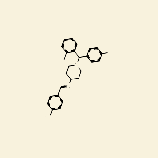 Cc1ccccc1C(c1ccc(Cl)cc1)N1CCC(N=Cc2ccc(Cl)cc2)CC1